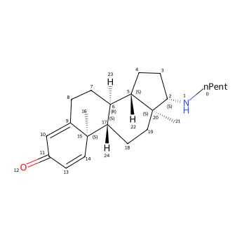 CCCCCN[C@H]1CC[C@H]2[C@@H]3CCC4=CC(=O)C=C[C@]4(C)[C@H]3CC[C@]12C